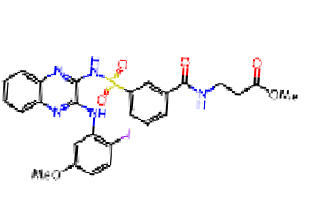 COC(=O)CCNC(=O)c1cccc(S(=O)(=O)Nc2nc3ccccc3nc2Nc2cc(OC)ccc2I)c1